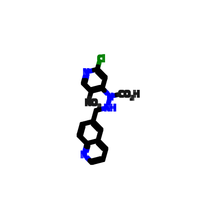 O=C(O)N(NCc1ccc2ncccc2c1)c1cc(Cl)ncc1[N+](=O)[O-]